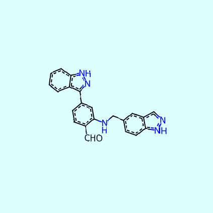 O=Cc1ccc(-c2n[nH]c3ccccc23)cc1NCc1ccc2[nH]ncc2c1